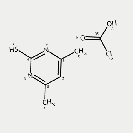 Cc1cc(C)nc(S)n1.O=C(O)Cl